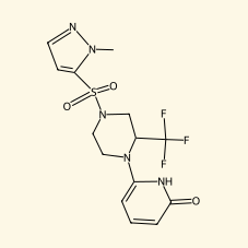 Cn1nccc1S(=O)(=O)N1CCN(c2cccc(=O)[nH]2)C(C(F)(F)F)C1